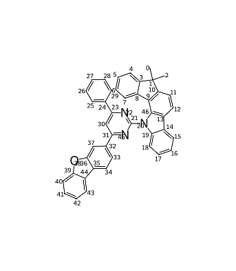 CC1(C)c2ccccc2-c2c1ccc1c3ccccc3n(-c3nc(-c4ccccc4)cc(-c4ccc5c(c4)oc4ccccc45)n3)c21